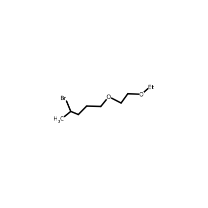 CCOCCOCCCC(C)Br